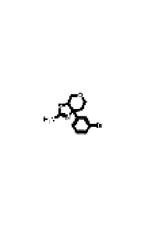 NC1=NC2(c3cccc(Br)c3)CCOCC2S1